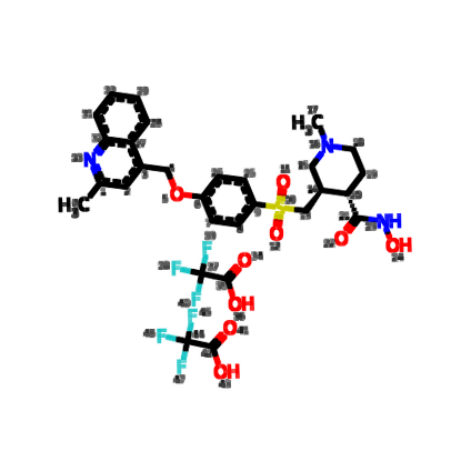 Cc1cc(COc2ccc(S(=O)(=O)C[C@H]3CN(C)CC[C@@H]3C(=O)NO)cc2)c2ccccc2n1.O=C(O)C(F)(F)F.O=C(O)C(F)(F)F